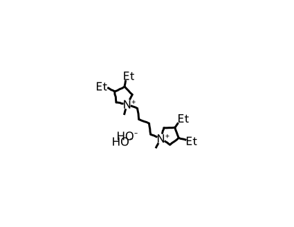 CCC1C[N+](C)(CCCC[N+]2(C)CC(CC)C(CC)C2)CC1CC.[OH-].[OH-]